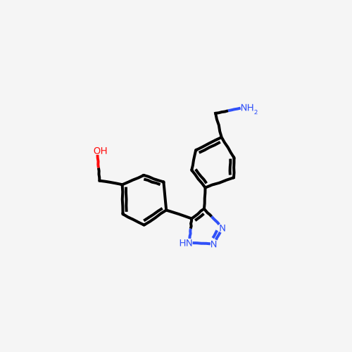 NCc1ccc(-c2nn[nH]c2-c2ccc(CO)cc2)cc1